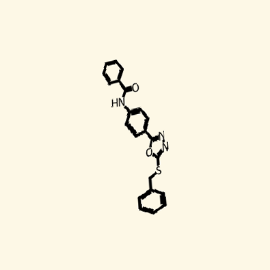 O=C(Nc1ccc(-c2nnc(SCc3ccccc3)o2)cc1)c1ccccc1